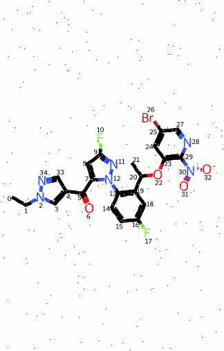 CCn1cc(C(=O)c2cc(F)nn2-c2ccc(F)cc2C(C)Oc2cc(Br)cnc2[N+](=O)[O-])cn1